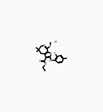 CCOC(=O)c1c(Nc2ccc(I)cc2F)sc2c1CC(C)(C)CN=C2SC.I